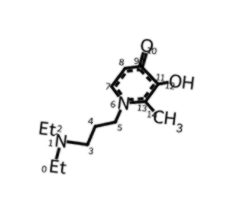 CCN(CC)CCCn1ccc(=O)c(O)c1C